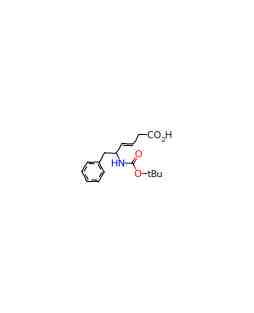 CC(C)(C)OC(=O)NC(/C=C/CC(=O)O)Cc1ccccc1